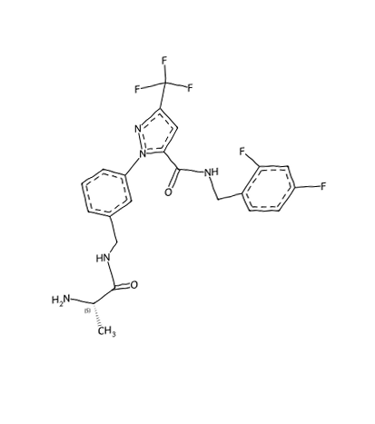 C[C@H](N)C(=O)NCc1cccc(-n2nc(C(F)(F)F)cc2C(=O)NCc2ccc(F)cc2F)c1